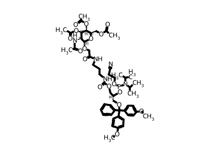 COc1ccc(C(OC[C@H](COC(=O)NCCCNC(=O)CO[C@@H]2O[C@H](COC(C)=O)[C@H](OC(C)=O)[C@H](OC(C)=O)[C@H]2NC(C)=O)OP(OCCC#N)N(C(C)C)C(C)C)(c2ccccc2)c2ccc(OC)cc2)cc1